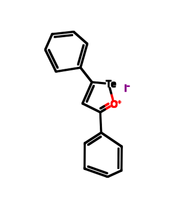 [I-].c1ccc(-c2cc(-c3ccccc3)[te][o+]2)cc1